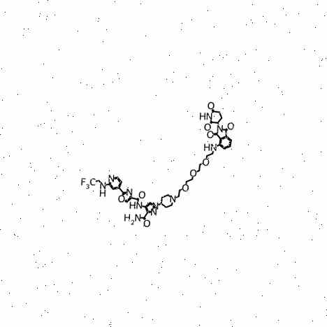 NC(=O)c1nn(C2CCN(CCOCCOCCOCCNc3cccc4c3C(=O)N(C3CCC(=O)NC3=O)C4=O)CC2)cc1NC(=O)c1coc(-c2ccnc(NCC(F)(F)F)c2)n1